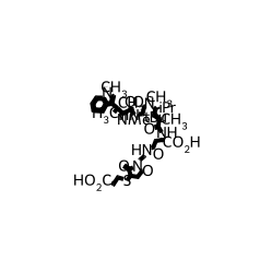 CN[C@H](C(=O)N[C@H](C(=O)N(C)[C@H](/C=C(\C)C(=O)N[C@H](CC(=O)NCCN1C(=O)CC(SCCC(=O)O)C1=O)C(=O)O)C(C)C)C(C)(C)C)C(C)(C)c1cn(C)c2ccccc12